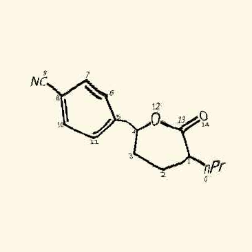 CCCC1CCC(c2ccc(C#N)cc2)OC1=O